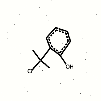 CC(C)(Cl)c1ccccc1O